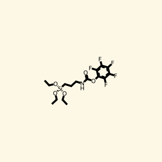 CCO[Si](CCCNC(=O)Oc1c(F)c(F)c(F)c(F)c1F)(OCC)OCC